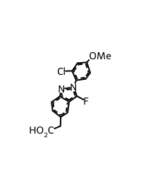 COc1ccc(-n2nc3ccc(CC(=O)O)cc3c2F)c(Cl)c1